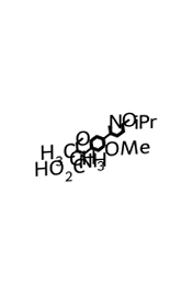 COc1cc2c(cc1-c1ccc(OC(C)C)nc1)OCC(C)(C)C2NC(=O)O